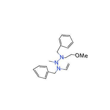 C=CN(Cc1ccccc1)N(C)N(CCOC)Cc1ccccc1